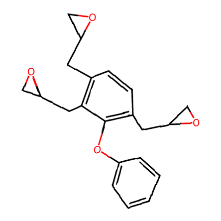 c1ccc(Oc2c(CC3CO3)ccc(CC3CO3)c2CC2CO2)cc1